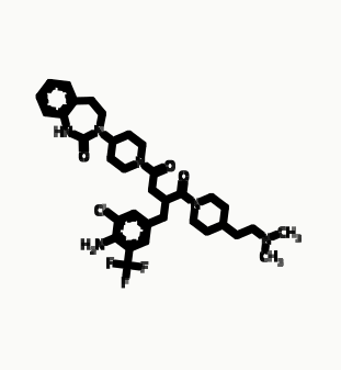 CN(C)CCC1CCN(C(=O)C(CC(=O)N2CCC(N3CCc4ccccc4NC3=O)CC2)Cc2cc(Cl)c(N)c(C(F)(F)F)c2)CC1